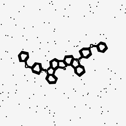 c1ccc(Oc2ccc(-n3c4ccccc4c4c5sc6c(ccc7c6c6ccccc6n7-c6ccc(Oc7ccccc7)cc6)c5ccc43)cc2)cc1